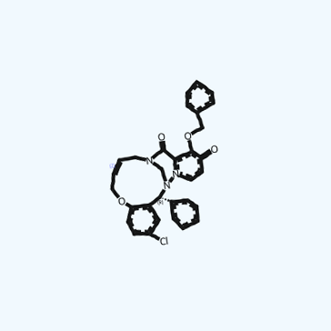 O=C1c2c(OCc3ccccc3)c(=O)ccn2N2CN1C/C=C\COc1ccc(Cl)cc1[C@H]2c1ccccc1